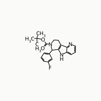 CC(C)(C)OC(=O)N1CCc2c([nH]c3cccnc23)C1c1cccc(F)c1